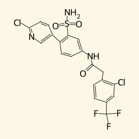 NS(=O)(=O)c1cc(NC(=O)Cc2ccc(C(F)(F)F)cc2Cl)ccc1-c1ccc(Cl)nc1